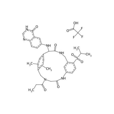 CCC(=O)N1CC(=O)Nc2ccc(S(=O)(=O)C(C)C)c(c2)CNC(=O)C(Nc2ccc3nc[nH]c(=O)c3c2)c2cc(C)c(c(C)c2)C1.O=C(O)C(F)(F)F